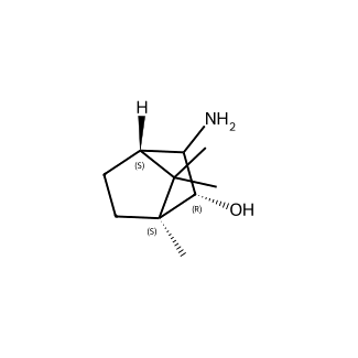 CC1(C)[C@@H]2CC[C@]1(C)[C@@H](O)C2N